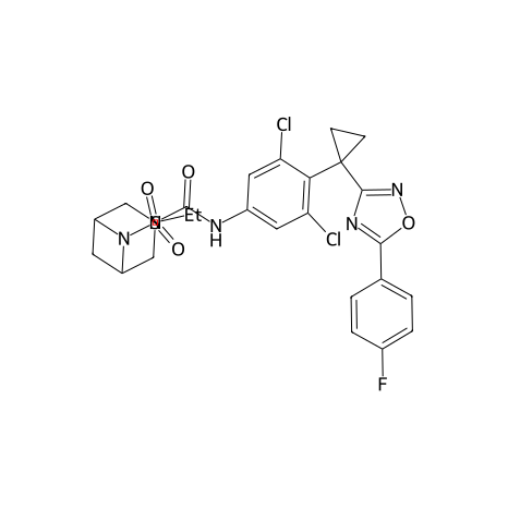 CCS(=O)(=O)N1C2CC1CN(C(=O)Nc1cc(Cl)c(C3(c4noc(-c5ccc(F)cc5)n4)CC3)c(Cl)c1)C2